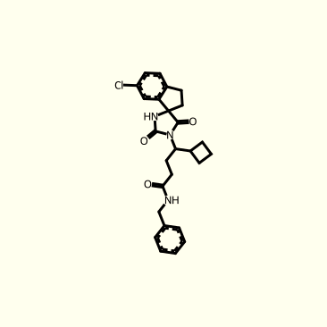 O=C(CCC(C1CCC1)N1C(=O)NC2(CCc3ccc(Cl)cc32)C1=O)NCc1ccccc1